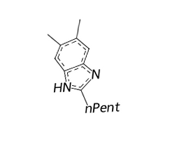 CCCCCc1nc2cc(C)c(C)cc2[nH]1